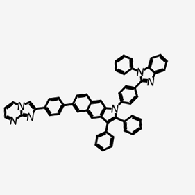 c1ccc(-c2c(-c3ccccc3)n(-c3ccc(-c4nc5ccccc5n4-c4ccccc4)cc3)c3cc4ccc(-c5ccc(-c6cn7cccnc7n6)cc5)cc4cc23)cc1